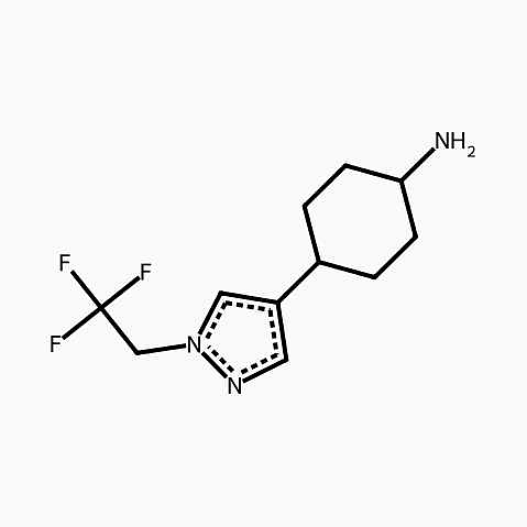 NC1CCC(c2cnn(CC(F)(F)F)c2)CC1